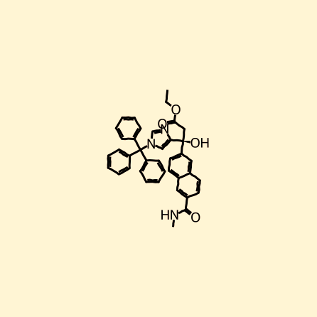 CCOC(=O)C[C@](O)(c1ccc2cc(C(=O)NC)ccc2c1)c1cn(C(c2ccccc2)(c2ccccc2)c2ccccc2)cn1